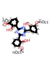 CCCCCCCCOc1cccc(-c2nc(-c3cccc(OCCCCCCCC)c3O)nc(-c3cccc(OCCCCCCCC)c3O)n2)c1O